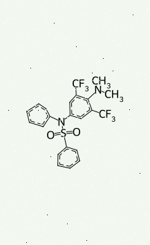 CN(C)c1c(C(F)(F)F)cc(N(c2ccccc2)S(=O)(=O)c2ccccc2)cc1C(F)(F)F